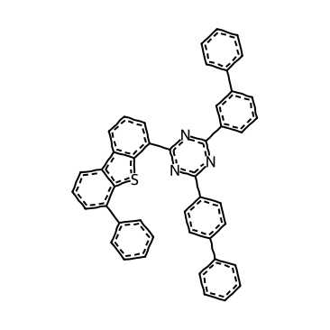 c1ccc(-c2ccc(-c3nc(-c4cccc(-c5ccccc5)c4)nc(-c4cccc5c4sc4c(-c6ccccc6)cccc45)n3)cc2)cc1